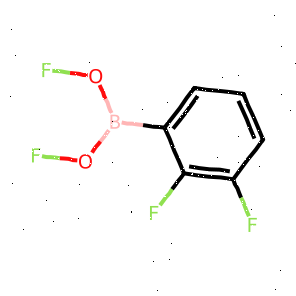 FOB(OF)c1cccc(F)c1F